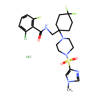 Cl.Cn1cnc(S(=O)(=O)N2CCN(C3(CNC(=O)c4c(F)cccc4Cl)CCC(F)(F)CC3)CC2)c1